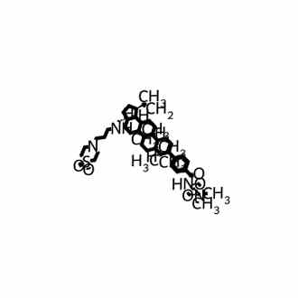 C=C(C)[C@@H]1CC[C@]2(CNCCCN3CCS(=O)(=O)CC3)CC[C@]3(C)[C@H](CC[C@@H]4[C@@]5(C)CC=C(c6ccc(C(=O)NS(=O)(=O)N(C)C)cc6)C(C)(C)[C@@H]5CC[C@]43C)[C@@H]12